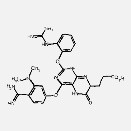 CN(C)c1cc(OC2=C3NC(=O)C(CCC(=O)O)N=C3NC(Oc3ccccc3NC(=N)N)=N2)ccc1C(=N)N